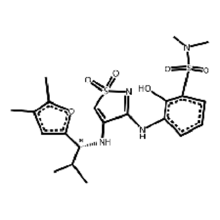 Cc1cc([C@H](NC2=CS(=O)(=O)N=C2Nc2cccc(S(=O)(=O)N(C)C)c2O)C(C)C)oc1C